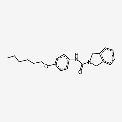 CCCCCCOc1ccc(NC(=O)N2Cc3ccccc3C2)cc1